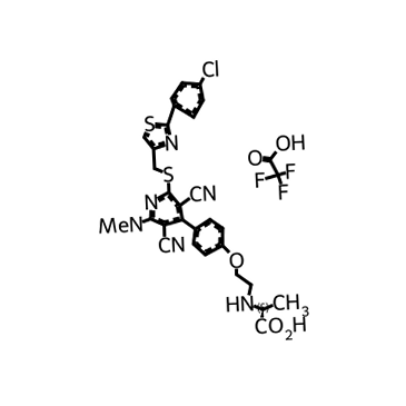 CNc1nc(SCc2csc(-c3ccc(Cl)cc3)n2)c(C#N)c(-c2ccc(OCCN[C@@H](C)C(=O)O)cc2)c1C#N.O=C(O)C(F)(F)F